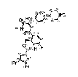 CCc1sc(C(=O)Nc2c(F)ccc(-c3cc(Nc4ccc(C5CCN(C)CC5)nn4)c(=O)n(C)c3)c2F)cc1C(C)C